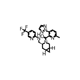 Cc1ccc(-n2nccn2)c(C(=O)N2C[C@@H]3C[C@@H]3C[C@H]2CNc2ccc(C(F)(F)F)cn2)n1